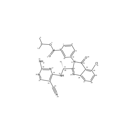 CC(C)OC(=O)c1cccc(-n2c([C@@H](C)Nc3nc(N)ncc3C#N)nc3cccc(Cl)c3c2=O)c1